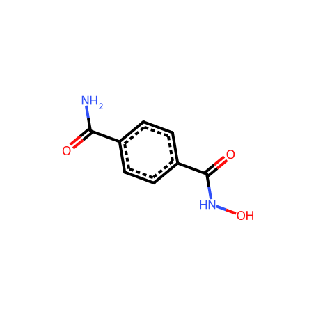 NC(=O)c1ccc(C(=O)NO)cc1